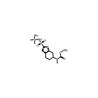 CN(C(=O)OC(C)(C)C)C1CCc2cc(S(=O)(=O)N[Si](C)(C)C(C)(C)C)sc2C1